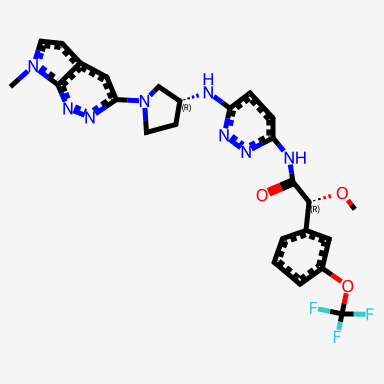 CO[C@@H](C(=O)Nc1ccc(N[C@@H]2CCN(c3cc4ccn(C)c4nn3)C2)nn1)c1cccc(OC(F)(F)F)c1